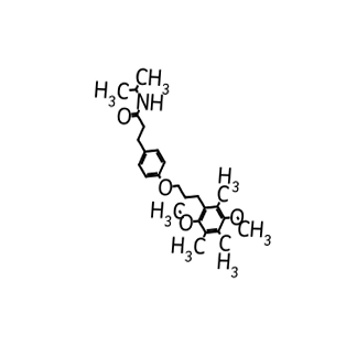 COc1c(C)c(C)c(OC)c(CCCOc2ccc(CCC(=O)NC(C)C)cc2)c1C